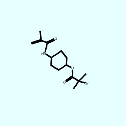 C=C(C)C(=O)NC1CCC(OC(=O)C(C)(C)Br)CC1